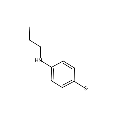 CCCNc1ccc([S])cc1